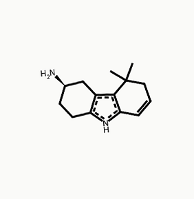 CC1(C)CC=Cc2[nH]c3c(c21)C[C@H](N)CC3